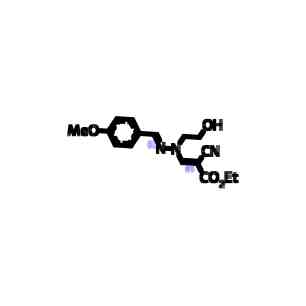 CCOC(=O)/C(C#N)=C/N(CCO)/N=C/c1ccc(OC)cc1